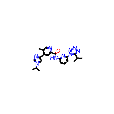 Cc1cnc(C(=O)Nc2cccc(-n3nnnc3C(C)C)n2)cc1-c1cn(C(C)C)cn1